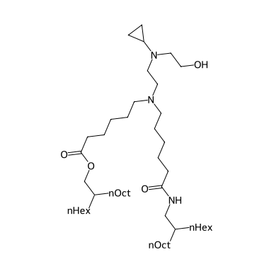 CCCCCCCCC(CCCCCC)CNC(=O)CCCCCN(CCCCCC(=O)OCC(CCCCCC)CCCCCCCC)CCN(CCO)C1CC1